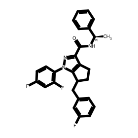 C[C@@H](NC(=O)c1nn(-c2ccc(F)cc2F)c2c1CCC2Cc1cccc(F)c1)c1ccccc1